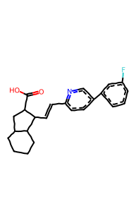 O=C(O)C1CC2CCCCC2C1C=Cc1ccc(-c2cccc(F)c2)cn1